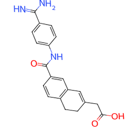 N=C(N)c1ccc(NC(=O)c2ccc3c(c2)C=C(CC(=O)O)CC3)cc1